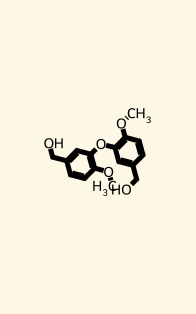 COc1ccc(CO)cc1Oc1cc(CO)ccc1OC